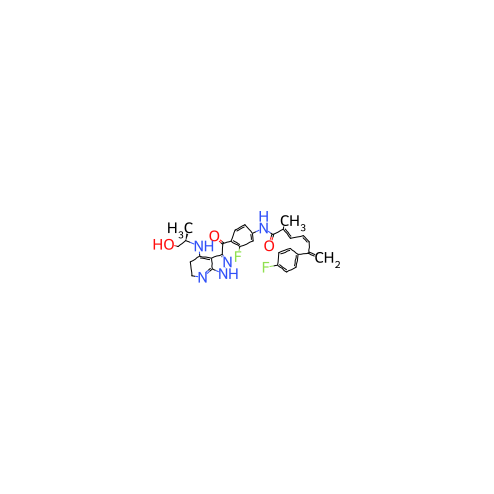 C=C(/C=C\C=C(/C)C(=O)Nc1ccc(C(=O)c2n[nH]c3c2=C(N[C@H](C)CO)CCN=3)c(F)c1)c1ccc(F)cc1